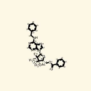 CC(=O)O[C@@]1(C)[C@@H](COC(=O)c2ccccc2)O[C@H](n2cnc3c(NCc4ccccc4)ncnc32)[C@]1(C)F